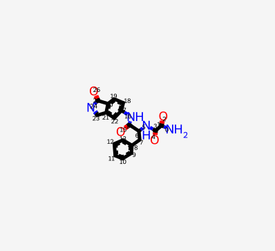 NC(=O)C(=O)NC(Cc1ccccc1)C(=O)Nc1ccc2c(c1)C=NC2=O